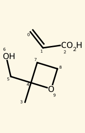 C=CC(=O)O.CC1(CO)CCO1